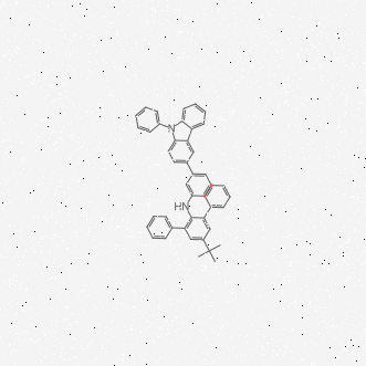 CC(C)(C)c1cc(-c2ccccc2)c(Nc2cccc(-c3ccc4c(c3)c3ccccc3n4-c3ccccc3)c2)c(-c2ccccc2)c1